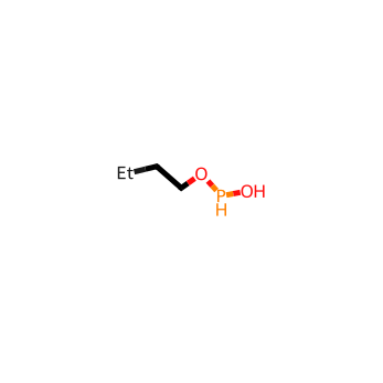 CCCCOPO